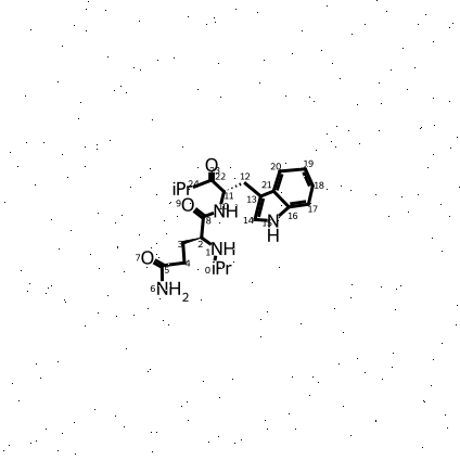 CC(C)N[C@@H](CCC(N)=O)C(=O)N[C@@H](Cc1c[nH]c2ccccc12)C(=O)C(C)C